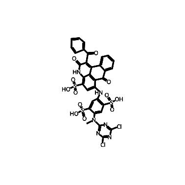 CN(c1nc(Cl)nc(Cl)n1)c1cc(S(=O)(=O)O)c(Nc2cc(S(=O)(=O)O)c3[nH]c(=O)c(C(=O)c4ccccc4)c4c3c2C(=O)c2ccccc2-4)cc1S(=O)(=O)O